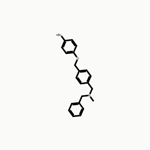 CCCCc1ccc(OCc2ccc(CN(C)Cc3ccccc3)cc2)cc1